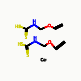 C=COCNC(=S)S.C=COCNC(=S)S.[Ca]